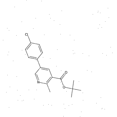 Cc1ncc(-c2ccc(Cl)cc2)cc1C(=O)OC(C)(C)C